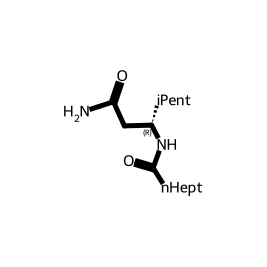 CCCCCCCC(=O)N[C@H](CC(N)=O)C(C)CCC